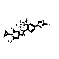 CCS(=O)(=O)c1cc(-n2cnc(Cl)n2)cnc1-c1nc2cc(C(F)(F)F)n(C3CC3)c(=O)c2n1C